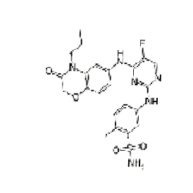 CCCN1C(=O)COc2ccc(Nc3nc(Nc4ccc(C)c(S(N)(=O)=O)c4)ncc3F)cc21